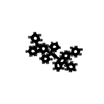 C(#C[Si](c1ccccc1)(c1ccccc1)c1ccc2c(c1)c1ccccc1n2-c1ccccc1)c1c2ccccc2c(-c2ccccc2)c2cc(-c3ccccc3)ccc12